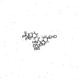 CC(C)(C)OC(=O)NC(Cc1cccc(OC(F)(F)C(F)F)c1)C(O)c1ccc(C=O)cc1